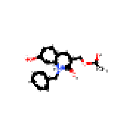 CC(=O)OCc1cc2ccc(O)cc2n(Cc2ccccc2)c1=O